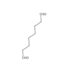 O=[C]CCCCCCC=O